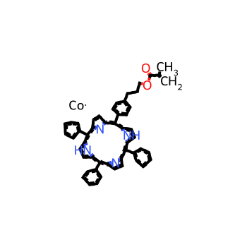 C=C(C)C(=O)OCCCc1ccc(-c2c3nc(c(-c4ccccc4)c4ccc([nH]4)c(-c4ccccc4)c4nc(c(-c5ccccc5)c5ccc2[nH]5)C=C4)C=C3)cc1.[Co]